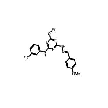 CCOc1nc(N/N=C/c2ccc(OC)cc2)nc(Nc2cccc(C(F)(F)F)c2)n1